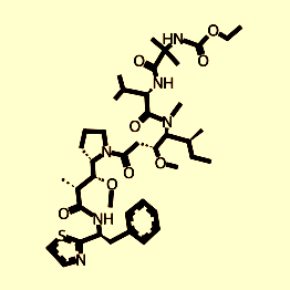 CCOC(=O)NC(C)(C)C(=O)N[C@H](C(=O)N(C)[C@@H]([C@@H](C)CC)[C@@H](CC(=O)N1CCC[C@H]1[C@H](OC)[C@@H](C)C(=O)N[C@@H](Cc1ccccc1)c1nccs1)OC)C(C)C